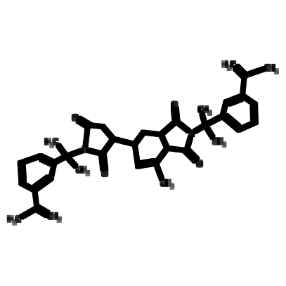 C=C(C)c1cccc(C(C)(C)N2C(=O)CC(C3C=C(C)C4C(=O)N(C(C)(C)c5cccc(C(=C)C)c5)C(=O)C4C3)C2=O)c1